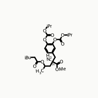 CCC(C)CC(=O)OC(C)C[C@@](N)(Cc1ccc(OC(=O)OC(C)C)c(OC(=O)OC(C)C)c1)C(=O)OC